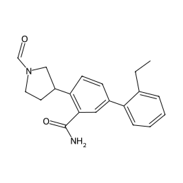 CCc1ccccc1-c1ccc(C2CCN(C=O)C2)c(C(N)=O)c1